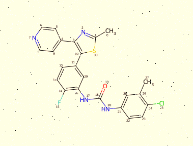 Cc1nc(-c2ccncc2)c(-c2ccc(F)c(NC(=O)Nc3ccc(Cl)c(C)c3)c2)s1